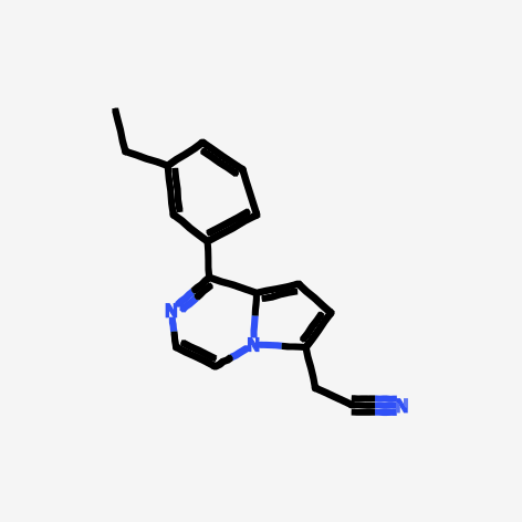 CCc1cccc(-c2nccn3c(CC#N)ccc23)c1